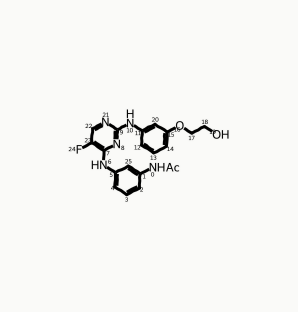 CC(=O)Nc1cccc(Nc2nc(Nc3cccc(OCCO)c3)ncc2F)c1